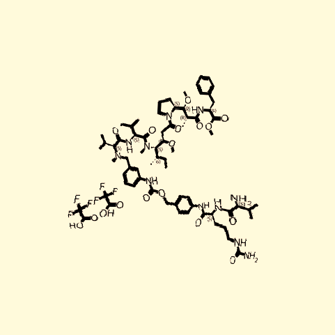 CC[C@H](C)[C@@H]([C@@H](CC(=O)N1CCC[C@H]1[C@H](OC)[C@@H](C)C(=O)N[C@@H](Cc1ccccc1)C(=O)OC)OC)N(C)C(=O)[C@@H](NC(=O)[C@H](C(C)C)N(C)Cc1cccc(NC(=O)OCc2ccc(NC(=O)[C@H](CCCNC(N)=O)NC(=O)[C@@H](N)C(C)C)cc2)c1)C(C)C.O=C(O)C(F)(F)F.O=C(O)C(F)(F)F